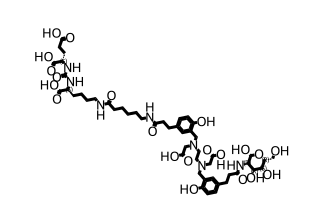 O=C(O)CC[C@H](NC(=O)N[C@@H](CCCCNC(=O)CCCCCNC(=O)CCc1ccc(O)c(CN(CCN(CC(=O)O)Cc2cc(CCC(=O)N[C@H]3C(O)O[C@H](CO)[C@@H](O)[C@@H]3O)ccc2O)CC(=O)O)c1)C(=O)O)C(=O)O